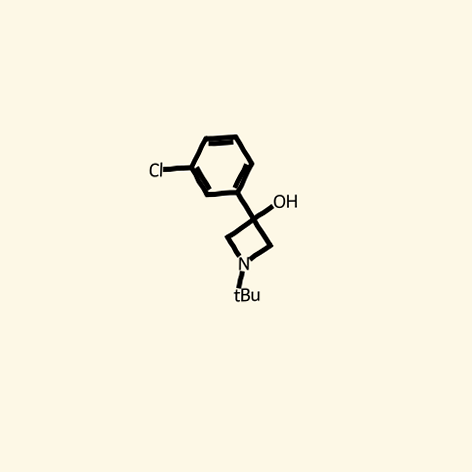 CC(C)(C)N1CC(O)(c2cccc(Cl)c2)C1